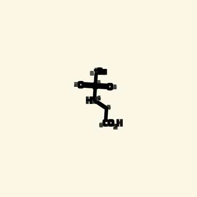 CC(C)(C)S(=O)(=O)NCC(=O)O